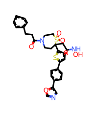 O=C(CC1(c2ccc(-c3ccc(-c4cnco4)cc3)s2)CCN(C(=O)CCc2ccccc2)CCS1(=O)=O)NO